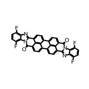 O=c1c2ccc3c4ccc5c6c(ccc(c7ccc(c2c37)c2nc3c(F)ccc(F)c3n12)c46)c(=O)n1c5nc2c(F)ccc(F)c21